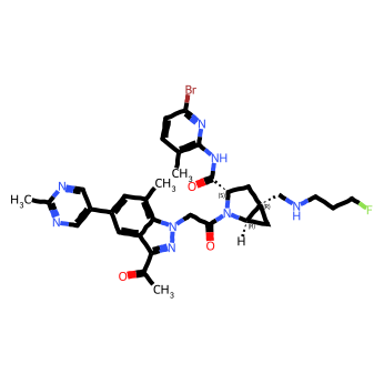 CC(=O)c1nn(CC(=O)N2[C@H](C(=O)Nc3nc(Br)ccc3C)C[C@@]3(CNCCCF)C[C@@H]23)c2c(C)cc(-c3cnc(C)nc3)cc12